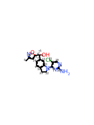 Cc1cc([C@@](C)(O)c2ccc3c(c2)N(c2nc(N)ncc2Cl)CC3)on1